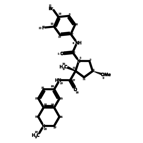 CO[C@H]1CN(C(=O)Nc2ccc(Br)c(F)c2)[C@@](C)(C(=O)Nc2ccc3c(c2)CCN(C)C3)C1